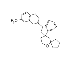 FC(F)(F)c1ccc2c(c1)CN(CCC1(c3ccccn3)CCOC3(CCCC3)C1)CC2